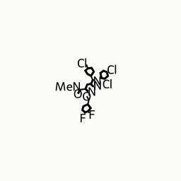 CNC(=O)c1cc2c(-c3ccc(Cl)cc3)n(-c3ccc(Cl)cc3Cl)nc2nc1OCc1ccc(F)c(F)c1